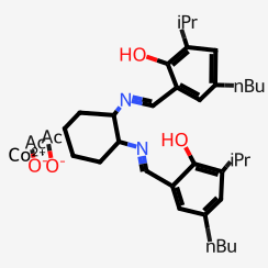 CC(=O)[O-].CC(=O)[O-].CCCCc1cc(C=NC2CCCCC2N=Cc2cc(CCCC)cc(C(C)C)c2O)c(O)c(C(C)C)c1.[Co+2]